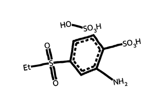 CCS(=O)(=O)c1ccc(S(=O)(=O)O)c(N)c1.O=S(=O)(O)O